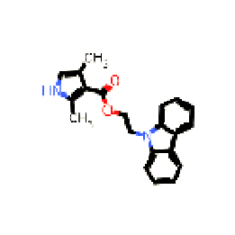 Cc1c[nH]c(C)c1C(=O)OCCn1c2ccccc2c2ccccc21